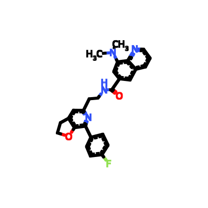 CN(C)c1cc(C(=O)NCCc2cc3c(c(-c4ccc(F)cc4)n2)OCC3)cc2cccnc12